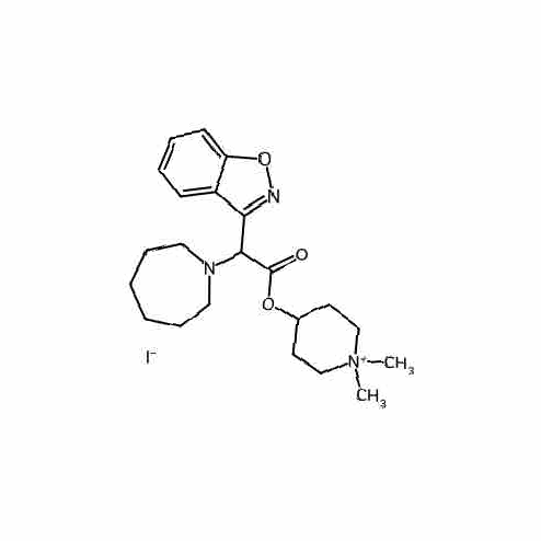 C[N+]1(C)CCC(OC(=O)C(c2noc3ccccc23)N2CCCCCC2)CC1.[I-]